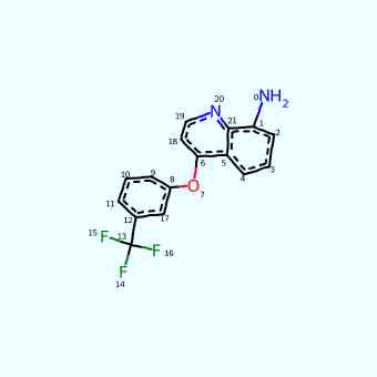 Nc1cccc2c(Oc3cccc(C(F)(F)F)c3)ccnc12